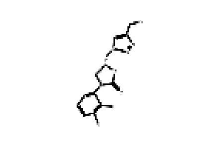 O=C1O[C@@H](Cn2cc(CBr)nn2)CN1c1cccc(F)c1I